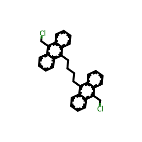 ClCc1c2ccccc2c(CCCCc2c3ccccc3c(CCl)c3ccccc23)c2ccccc12